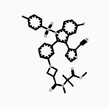 COC(=O)C(C)(C)N(C)C(=O)C1CN(c2cccc(-c3c(-c4ccsc4C#N)c4cc(F)ccc4n3S(=O)(=O)c3ccc(C)cc3)c2)C1